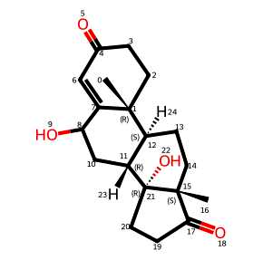 C[C@]12CCC(=O)C=C1C(O)C[C@@H]1[C@@H]2CC[C@]2(C)C(=O)CC[C@@]12O